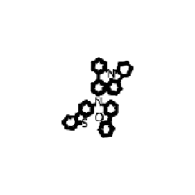 C1=CC2c3ccccc3N(c3ccccc3-c3ccc(N(c4ccc5c(c4)sc4ccccc45)c4cccc5c4oc4ccccc45)cc3)C2C=C1